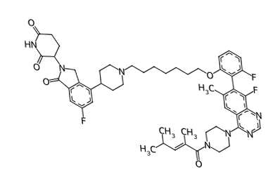 C/C(=C\C(C)C)C(=O)N1CCN(c2ncnc3c(F)c(-c4c(F)cccc4OCCCCCCCN4CCC(c5cc(F)cc6c5CN(C5CCC(=O)NC5=O)C6=O)CC4)c(C)cc23)CC1